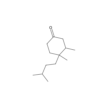 CC(C)CCC1(C)CCC(=O)CC1C